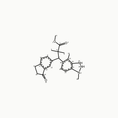 COC(=O)C(C)(C)C(c1ccc2c(c1)C(=O)CC2)c1ccc2c(c1C)NNN2C